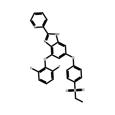 CCS(=O)(=O)c1ccc(Oc2cc(Oc3c(F)cccc3F)c3nc(-c4ccccn4)[nH]c3c2)cc1